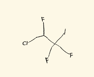 FC(Cl)C(F)(F)I